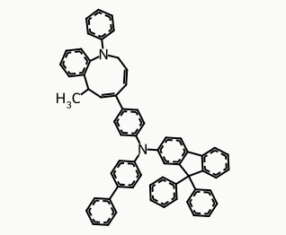 CC1/C=C(c2ccc(N(c3ccc(-c4ccccc4)cc3)c3ccc4c(c3)C(c3ccccc3)(c3ccccc3)c3ccccc3-4)cc2)\C=C/CN(c2ccccc2)c2ccccc21